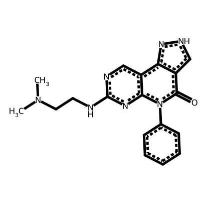 CN(C)CCNc1ncc2c3n[nH]cc3c(=O)n(-c3ccccc3)c2n1